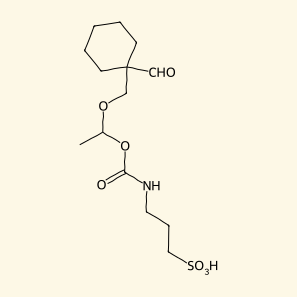 CC(OCC1(C=O)CCCCC1)OC(=O)NCCCS(=O)(=O)O